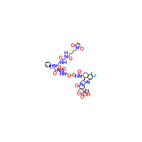 CC[C@@]1(O)C(=O)OCc2c1cc1n(c2=O)Cc2c-1nc1cc(F)c(C)c3c1c2[C@@H](NC(=O)[C@H]1C[C@H](OCNC(=O)CNC(=O)[C@H](Cc2ccccc2)NC(=O)CNC(=O)CNC(=O)CCCCN2C(=O)C=CC2=O)C1)CC3